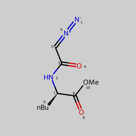 CCCC[C@@H](NC(=O)C=[N+]=[N-])C(=O)OC